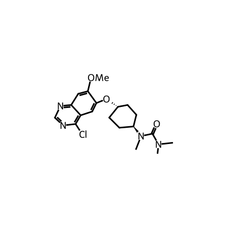 COc1cc2ncnc(Cl)c2cc1O[C@H]1CC[C@H](N(C)C(=O)N(C)C)CC1